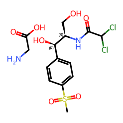 CS(=O)(=O)c1ccc([C@@H](O)[C@@H](CO)NC(=O)C(Cl)Cl)cc1.NCC(=O)O